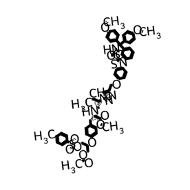 COC(=O)[C@H](Cc1ccc(OC(COC(C)=O)COS(=O)(=O)c2ccc(C)cc2)cc1)NC[C@H](C(C)C)n1cc(COc2ccc3nc(S(=O)(=O)NC(c4ccccc4)(c4ccc(OC)cc4)c4ccc(OC)cc4)sc3c2)nn1